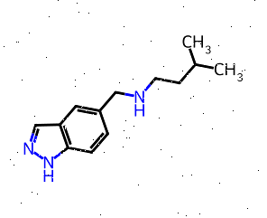 CC(C)CCNCc1ccc2[nH]ncc2c1